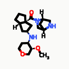 CO[C@@H]1COCC[C@@H]1N[C@@H]1C[C@H]2CCC[C@@]2(C(=O)N2C[C@@H]3C[C@H]2CN3)C1